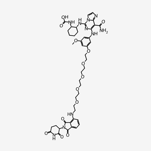 COc1cc(Nc2nc(N[C@H]3CCCC[C@H]3NC(=O)O)n3ccnc3c2C(N)=O)cc(OCCOCCOCCOCCOCCNc2cccc3c2C(=O)N(C2CCC(=O)NC2=O)C3=O)c1